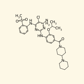 CC(C)Oc1cc(C(=O)N2CCC(N3CCCCC3)CC2)ccc1Nc1nc(N)c(Cl)c(Nc2ccccc2S(C)(=O)=O)n1